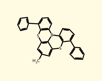 Cc1cc2c3c(c1)Sc1c(cccc1-c1ccccc1)B3c1cccc(-c3ccccc3)c1S2